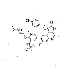 CC(C)NCCOc1ncc(-c2cc3c(cc2F)ncc2c3[C@]3(C[C@@H](c4ccc(Cl)cc4)C3)C(=O)N2C)cc1NS(C)(=O)=O